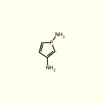 Nc1[c]p(N)cc1